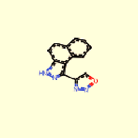 c1ccc2c(c1)ccc1[nH]nc(-c3conn3)c12